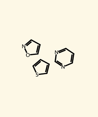 c1ccsc1.c1cncnc1.c1cnoc1